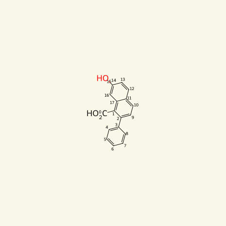 O=C(O)c1c(-c2ccccc2)ccc2ccc(O)cc12